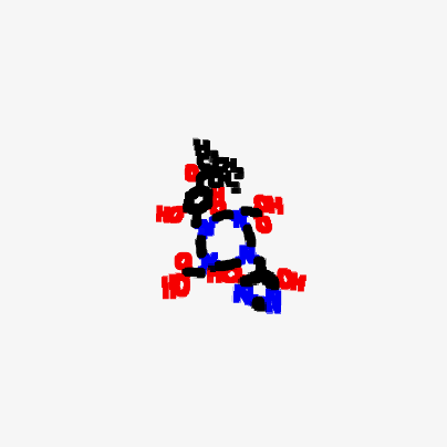 CC(C)(C)C(=O)c1cc(O)c(CN2CCN(CC(=O)O)CCN(Cc3c(O)ncnc3O)CCN(CC(=O)O)CC2)c(O)c1